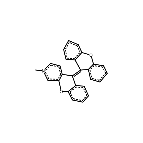 C[n+]1ccc2c(c1)Oc1ccccc1C2=C1c2ccccc2Oc2ccccc21